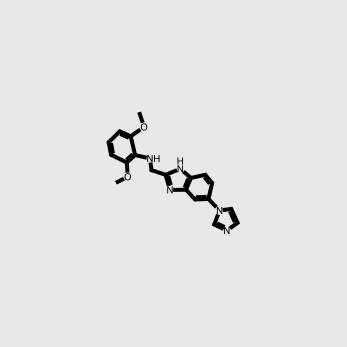 COc1cccc(OC)c1NCc1nc2cc(-n3ccnc3)ccc2[nH]1